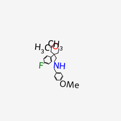 COc1ccc(CNCCC2(c3ccc(F)cc3)CCOC(C)(C)C2)cc1